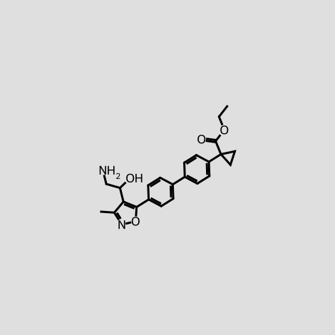 CCOC(=O)C1(c2ccc(-c3ccc(-c4onc(C)c4C(O)CN)cc3)cc2)CC1